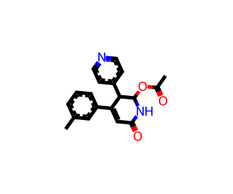 CC(=O)OC1NC(=O)C=C(c2cccc(C)c2)C1c1ccncc1